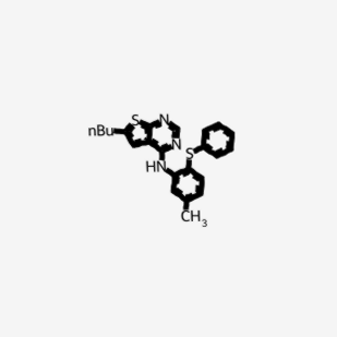 CCCCc1cc2c(Nc3cc(C)ccc3Sc3ccccc3)ncnc2s1